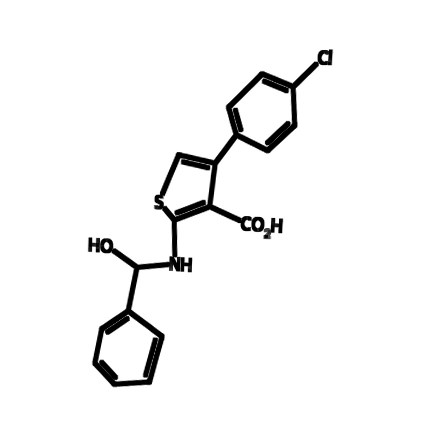 O=C(O)c1c(-c2ccc(Cl)cc2)csc1NC(O)c1ccccc1